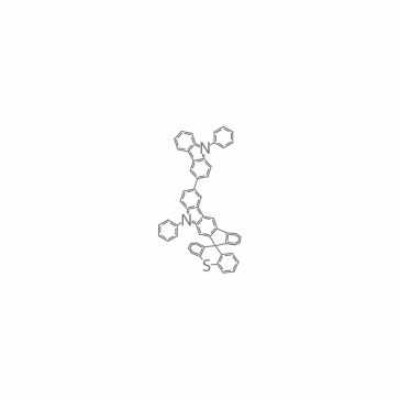 c1ccc(-n2c3ccccc3c3cc(-c4ccc5c(c4)c4cc6c(cc4n5-c4ccccc4)C4(c5ccccc5Sc5ccccc54)c4ccccc4-6)ccc32)cc1